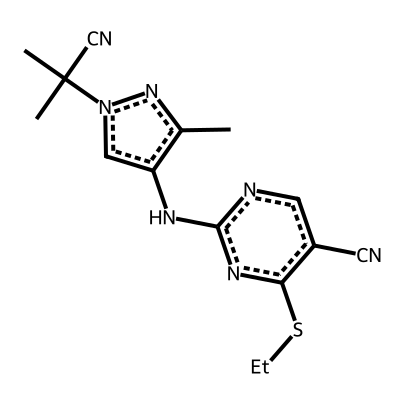 CCSc1nc(Nc2cn(C(C)(C)C#N)nc2C)ncc1C#N